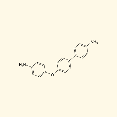 Cc1ccc(-c2ccc(Oc3ccc(N)cc3)cc2)cc1